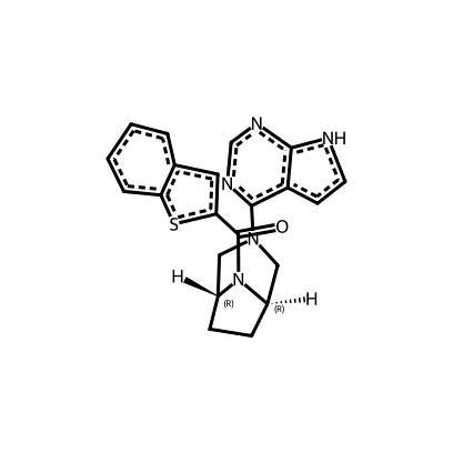 O=C(c1cc2ccccc2s1)N1[C@@H]2CC[C@@H]1CN(c1ncnc3[nH]ccc13)C2